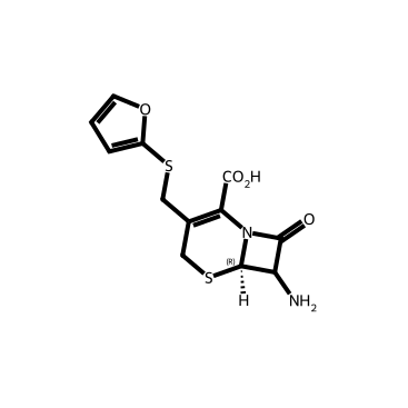 NC1C(=O)N2C(C(=O)O)=C(CSc3ccco3)CS[C@H]12